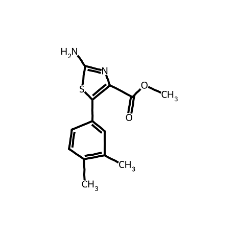 COC(=O)c1nc(N)sc1-c1ccc(C)c(C)c1